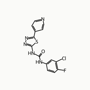 O=C(Nc1ccc(F)c(Cl)c1)Nc1nnc(-c2ccncc2)s1